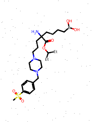 CCC(CC)OC(=O)C(N)(CCCCB(O)O)CCCN1CCN(Cc2ccc(S(C)(=O)=O)cc2)CC1